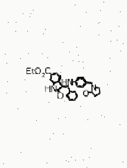 CCOC(=O)c1ccc2c(c1)NC(=O)C2=C(Nc1ccc(CN2CCCC2=O)cc1)c1ccccc1